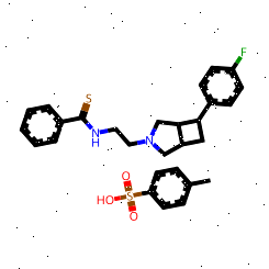 Cc1ccc(S(=O)(=O)O)cc1.Fc1ccc(C2CC3CN(CCNC(=S)c4ccccc4)CC32)cc1